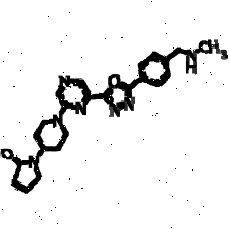 CNCc1ccc(-c2nnc(-c3cncc(N4CCC(N5CCCC5=O)CC4)n3)o2)cc1